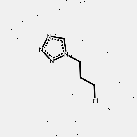 ClCCCn1cnnn1